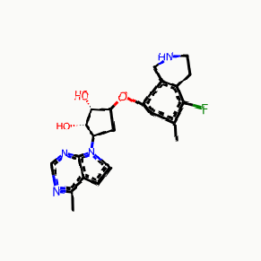 Cc1cc(OC2CC(n3ccc4c(C)ncnc43)[C@H](O)[C@@H]2O)c2c(c1F)CCNC2